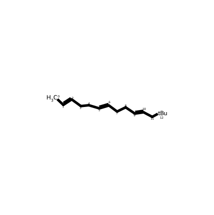 CC=CCCC=CCCC=CCC(C)(C)C